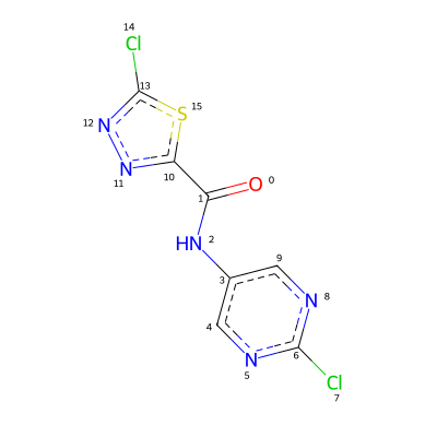 O=C(Nc1cnc(Cl)nc1)c1nnc(Cl)s1